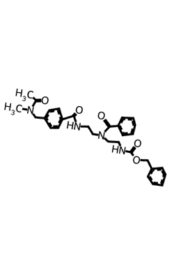 CC(=O)N(C)Cc1ccc(C(=O)NCCN(CCNC(=O)OCc2ccccc2)C(=O)c2ccccc2)cc1